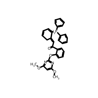 COc1cc(OC)nc(Oc2ccccc2C(=O)C=C2CC=CC=C2[PH2](c2ccccc2)c2ccccc2)n1